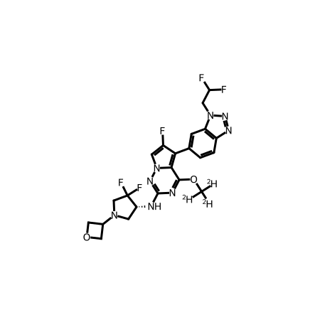 [2H]C([2H])([2H])Oc1nc(N[C@@H]2CN(C3COC3)CC2(F)F)nn2cc(F)c(-c3ccc4nnn(CC(F)F)c4c3)c12